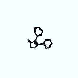 O=C1COC(c2ccccc2)=C1c1ccccc1